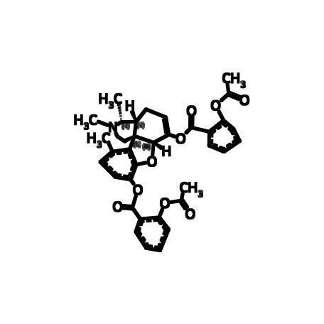 CC(=O)Oc1ccccc1C(=O)OC1=CC[C@H]2[C@@H](C)N(C)CC[C@@]23c2c(C)ccc(OC(=O)c4ccccc4OC(C)=O)c2O[C@@H]13